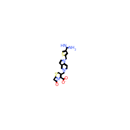 N=C(N)c1csc(Cn2ccc3c[n+](CC4=C(C(=O)[O-])N5C(=O)CC5SC4)ccc32)c1